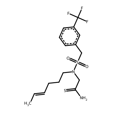 CC=CCCCN(CC(N)=S)S(=O)(=O)Cc1cccc(C(F)(F)F)c1